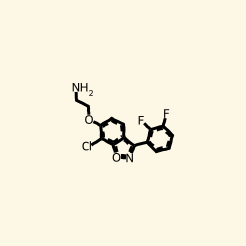 NCCOc1ccc2c(-c3cccc(F)c3F)noc2c1Cl